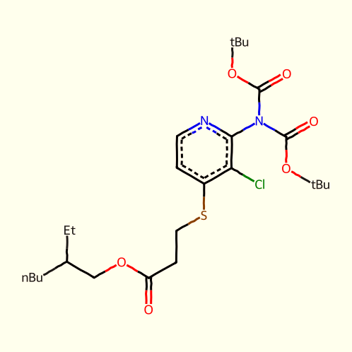 CCCCC(CC)COC(=O)CCSc1ccnc(N(C(=O)OC(C)(C)C)C(=O)OC(C)(C)C)c1Cl